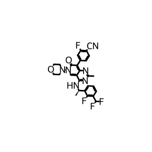 Cc1nc(N[C@H](C)c2cccc(C(F)F)c2F)c2cn(N3CCOCC3)c(=O)c(-c3ccc(C#N)c(F)c3)c2n1